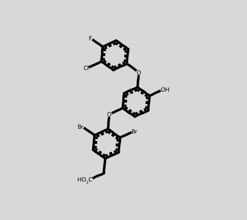 O=C(O)Cc1cc(Br)c(Oc2ccc(O)c(Oc3ccc(F)c(Cl)c3)c2)c(Br)c1